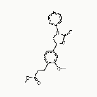 COC(=O)CCc1ccc(C2CN(c3ccccc3)C(=O)O2)cc1OC